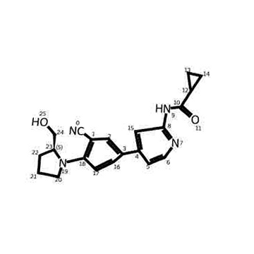 N#Cc1cc(-c2ccnc(NC(=O)C3CC3)c2)ccc1N1CCC[C@H]1CO